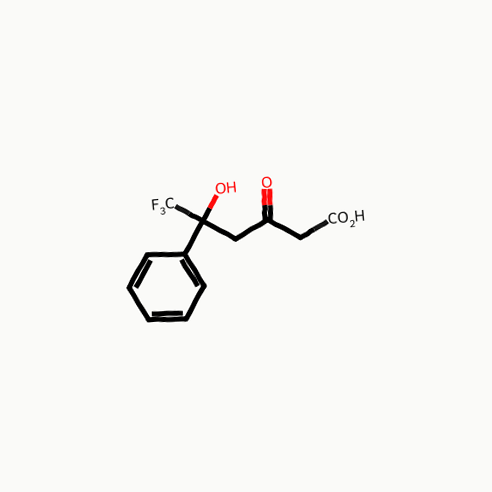 O=C(O)CC(=O)CC(O)(c1ccccc1)C(F)(F)F